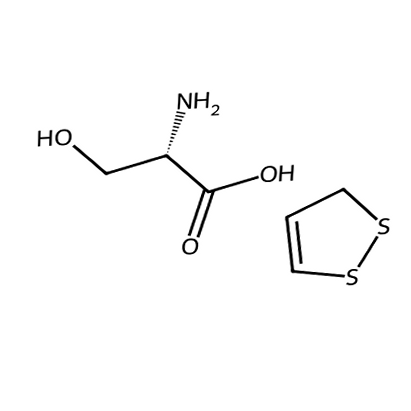 C1=CSSC1.N[C@@H](CO)C(=O)O